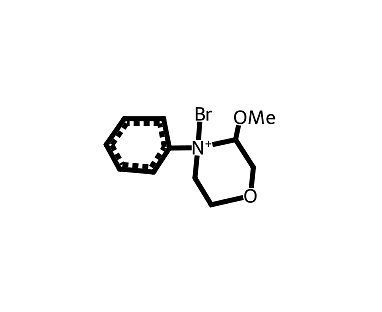 COC1COCC[N+]1(Br)c1ccccc1